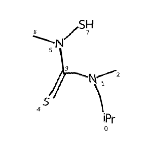 CC(C)N(C)C(=S)N(C)S